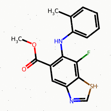 COC(=O)c1cc2c(c(F)c1Nc1ccccc1C)[SH]C=N2